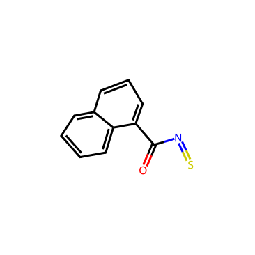 O=C(N=S)c1cccc2ccccc12